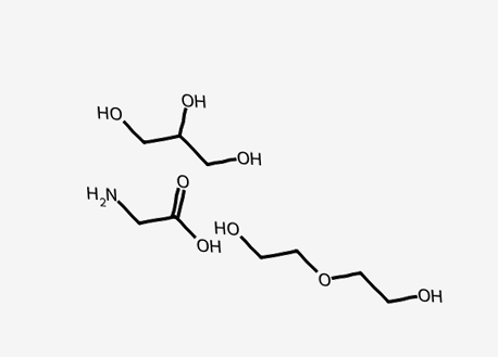 NCC(=O)O.OCC(O)CO.OCCOCCO